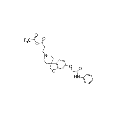 O=C(COc1ccc2c(c1)OCC21CCN(CCC(=O)OC(=O)C(F)(F)F)CC1)Nc1ccccc1